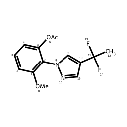 COc1cccc(OC(C)=O)c1-n1cc(C(C)(F)F)cn1